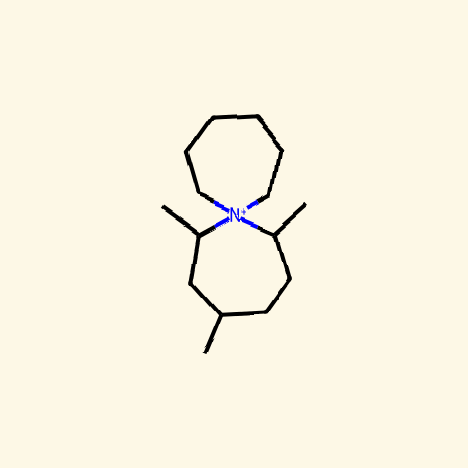 CC1CCC(C)[N+]2(CCCCCC2)C(C)C1